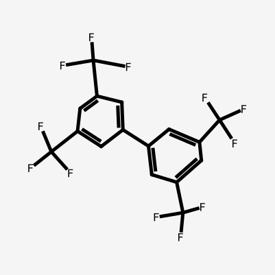 FC(F)(F)c1cc(-c2cc(C(F)(F)F)cc(C(F)(F)F)c2)cc(C(F)(F)F)c1